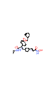 O=C(/C=C/c1ccc(/C=C(/C(=O)NC2CC2)c2ccc(OCc3ccccc3)cc2)cc1)NO